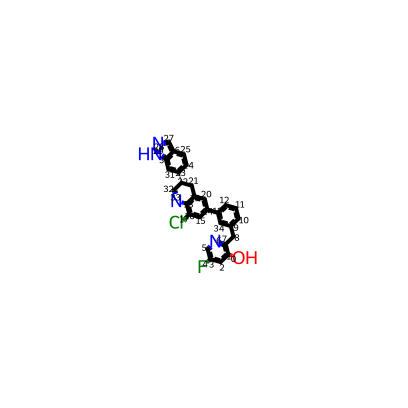 Oc1cc(F)cnc1Cc1cccc(-c2cc(Cl)c3c(c2)C[C@@H](c2ccc4cn[nH]c4c2)C=N3)c1